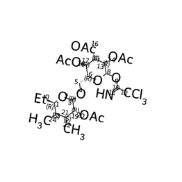 CC[C@H]1O[C@@H](OC[C@H]2OC(OC(=N)C(Cl)(Cl)Cl)[C@H](OC(C)=O)[C@@H](OC(C)=O)[C@@H]2OC(C)=O)[C@H](OC(C)=O)[C@@H](C)[C@@H]1C